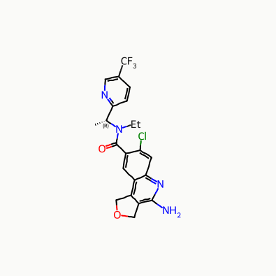 CCN(C(=O)c1cc2c3c(c(N)nc2cc1Cl)COC3)[C@H](C)c1ccc(C(F)(F)F)cn1